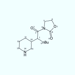 CCCCC(C(=O)N1CCOC1=O)C1CCCNC1